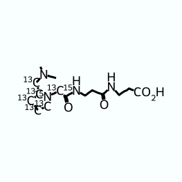 CN(C)[13CH2][13CH]1[13CH2][13CH2][13CH2][15N]1[13CH2]C(=O)[15NH]CCC(=O)NCC[13C](=O)O